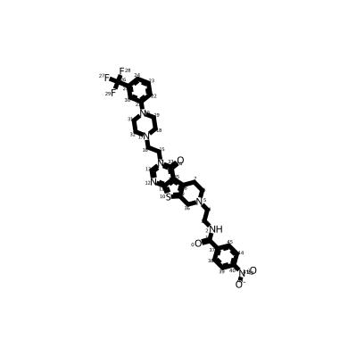 O=C(NCCN1CCc2c(sc3ncn(CCN4CCN(c5cccc(C(F)(F)F)c5)CC4)c(=O)c23)C1)c1ccc([N+](=O)[O-])cc1